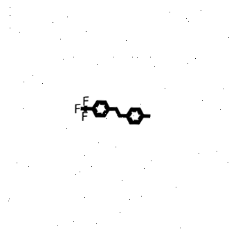 Cc1ccc(CCc2ccc(C(F)(F)F)cc2)cc1